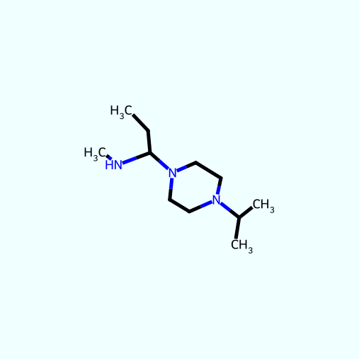 CCC(NC)N1CCN(C(C)C)CC1